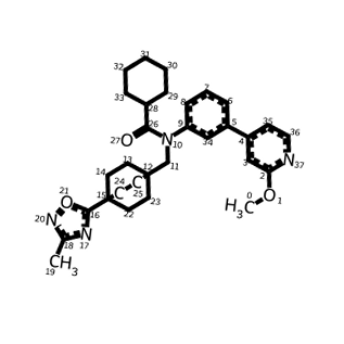 COc1cc(-c2cccc(N(CC34CCC(c5nc(C)no5)(CC3)CC4)C(=O)C3CCCCC3)c2)ccn1